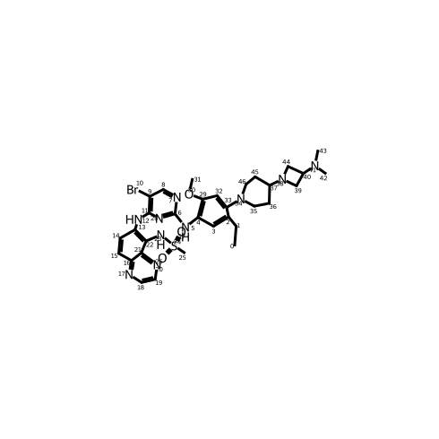 CCc1cc(Nc2ncc(Br)c(Nc3ccc4nccnc4c3NS(C)(=O)=O)n2)c(OC)cc1N1CCC(N2CC(N(C)C)C2)CC1